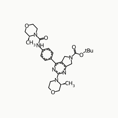 C[C@H]1COCCN1C(=O)Nc1ccc(-c2nc(N3CCOC[C@@H]3C)nc3c2CN(C(=O)OC(C)(C)C)C3)cc1